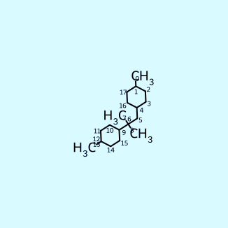 CC1CCC(CC(C)(C)C2CCC(C)CC2)CC1